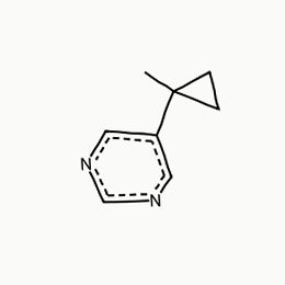 CC1(c2cncnc2)CC1